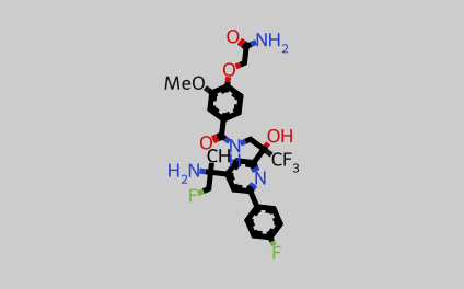 COc1cc(C(=O)NCC(O)(c2cc(C(C)(N)CF)cc(-c3ccc(F)cc3)n2)C(F)(F)F)ccc1OCC(N)=O